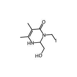 CC1=C(C)C(=O)N(CI)C(CO)N1